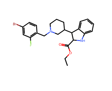 CCOC(=O)C1Nc2ccccc2C1C1CCCN(Cc2ccc(Br)cc2F)C1